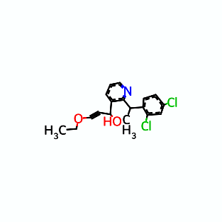 CCOC#CC(O)c1cccnc1C(C)c1ccc(Cl)cc1Cl